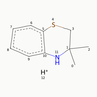 CC1(C)CSc2ccccc2N1.[H+]